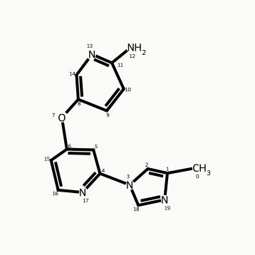 Cc1cn(-c2cc(Oc3ccc(N)nc3)ccn2)cn1